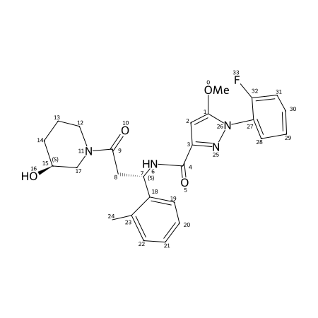 COc1cc(C(=O)N[C@@H](CC(=O)N2CCC[C@H](O)C2)c2ccccc2C)nn1-c1ccccc1F